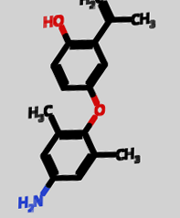 C=C(C)c1cc(Oc2c(C)cc(N)cc2C)ccc1O